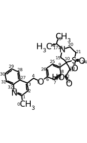 Cc1cc(COc2ccc(C3(CC(=O)O)CN(C(C)C)CCS3(=O)=O)cc2)c2ccccc2n1